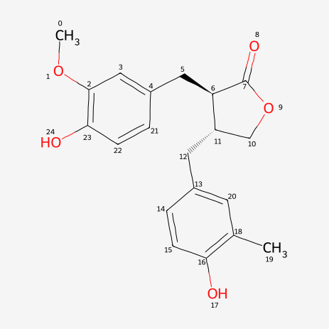 COc1cc(C[C@H]2C(=O)OC[C@@H]2Cc2ccc(O)c(C)c2)ccc1O